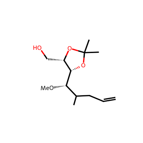 C=CCC(C)[C@H](OC)[C@H]1OC(C)(C)O[C@H]1CO